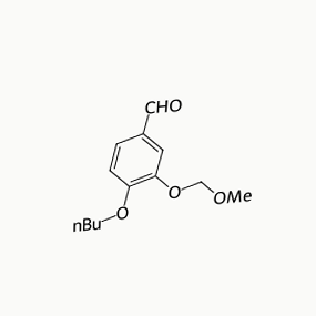 CCCCOc1ccc(C=O)cc1OCOC